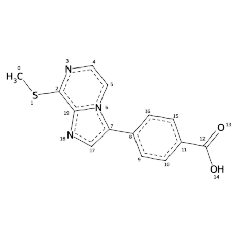 CSc1nccn2c(-c3ccc(C(=O)O)cc3)cnc12